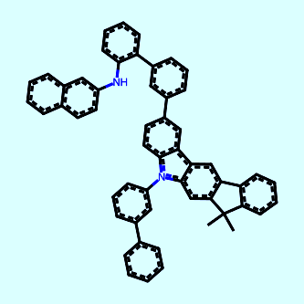 CC1(C)c2ccccc2-c2cc3c4cc(-c5cccc(-c6ccccc6Nc6ccc7ccccc7c6)c5)ccc4n(-c4cccc(-c5ccccc5)c4)c3cc21